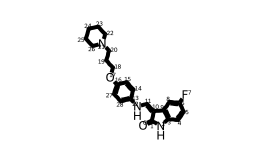 O=C1Nc2ccc(F)cc2C1=CNc1ccc(OCCCN2CCCCC2)cc1